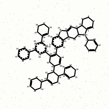 C1=CCC(N2C3=CCCCC3C3C=C4Sc5ccc(C6=C(c7nc(C8=CCCCC8)nc(-c8ccccc8)n7)CC(C7CC(C8CC=CCC8)=CCC7C7=CCCC=C7)C=C6)cc5C4CC32)C=C1